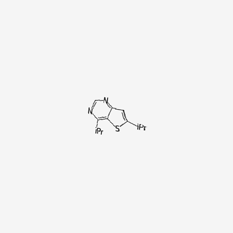 CC(C)c1cc2ncnc(C(C)C)c2s1